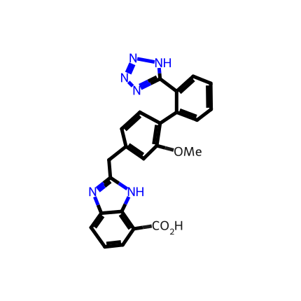 COc1cc(Cc2nc3cccc(C(=O)O)c3[nH]2)ccc1-c1ccccc1-c1nnn[nH]1